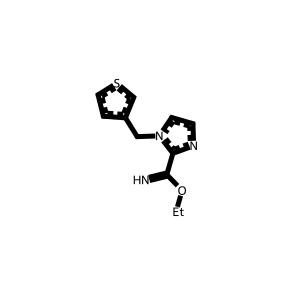 CCOC(=N)c1nccn1Cc1ccsc1